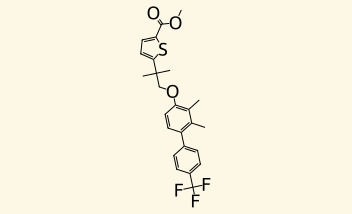 COC(=O)c1ccc(C(C)(C)COc2ccc(-c3ccc(C(F)(F)F)cc3)c(C)c2C)s1